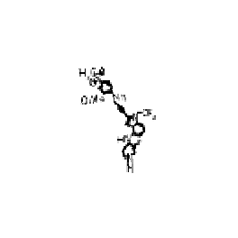 COc1cc(S(C)(=O)=O)ccc1NCC#Cc1cc2c(NC3CCNCC3F)cccc2n1CC(F)(F)F